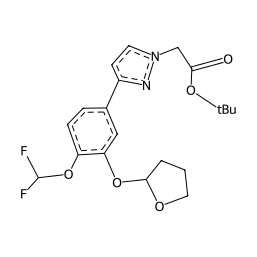 CC(C)(C)OC(=O)Cn1ccc(-c2ccc(OC(F)F)c(OC3CCCO3)c2)n1